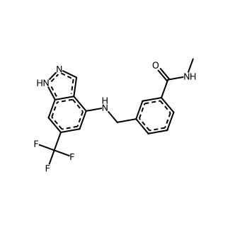 CNC(=O)c1cccc(CNc2cc(C(F)(F)F)cc3[nH]ncc23)c1